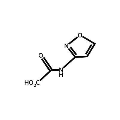 O=C(O)C(=O)Nc1ccon1